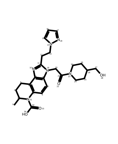 CC1CCc2c(ccc3c2nc(CCn2cccn2)n3CC(=O)N2CCC(CO)CC2)N1C(=O)O